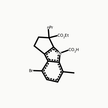 CCCC1(C(=O)OCC)CCc2c1n(C(=O)O)c1c(C)ccc(Br)c21